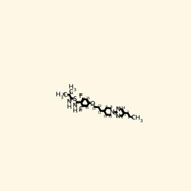 CCCc1cnc(N2CCC(CCCOc3cc(F)c(C(=N)SC(=N)C(C)C)c(F)c3)CC2)nc1